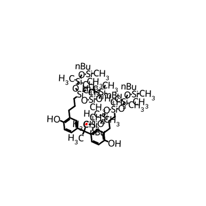 CCCC[Si](C)(C)O[Si](C)(C)O[Si](C)(CCCc1cc(C(C)(C)c2ccc(O)c(CCC[Si](C)(O[Si](C)(C)O[Si](C)(C)CCCC)O[Si](C)(C)O[Si](C)(C)CCCC)c2)ccc1O)O[Si](C)(C)O[Si](C)(C)CCCC